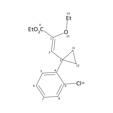 CCOC(=O)C(=CC1(c2ccccc2Cl)CC1)OCC